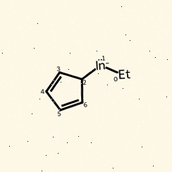 C[CH2][In-][CH]1C=CC=C1